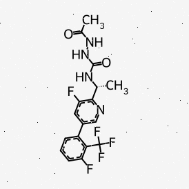 CC(=O)NNC(=O)N[C@H](C)c1ncc(-c2cccc(F)c2C(F)(F)F)cc1F